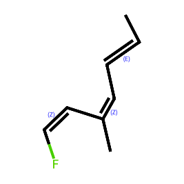 C/C=C/C=C(C)\C=C/F